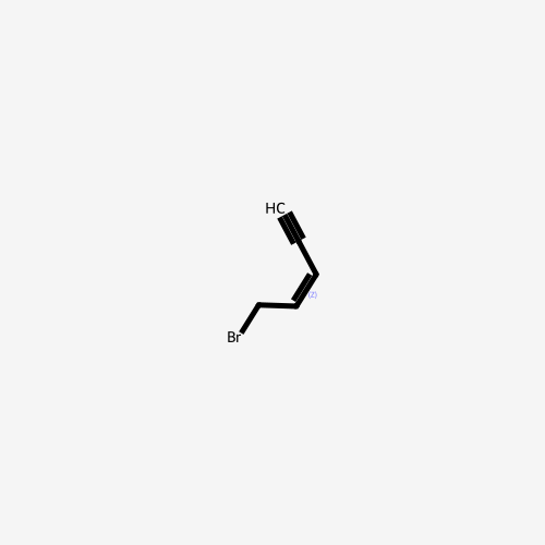 C#C/C=C\CBr